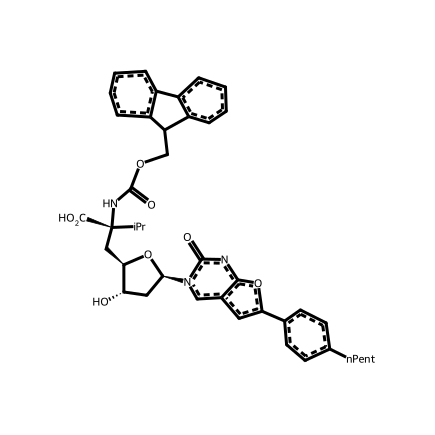 CCCCCc1ccc(-c2cc3cn([C@H]4C[C@H](O)[C@@H](C[C@@](NC(=O)OCC5c6ccccc6-c6ccccc65)(C(=O)O)C(C)C)O4)c(=O)nc3o2)cc1